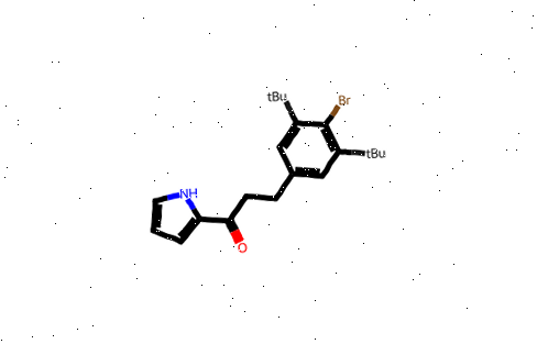 CC(C)(C)c1cc(CCC(=O)c2ccc[nH]2)cc(C(C)(C)C)c1Br